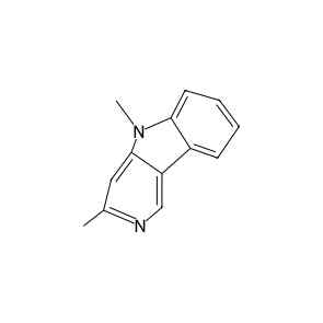 Cc1cc2c(cn1)c1ccccc1n2C